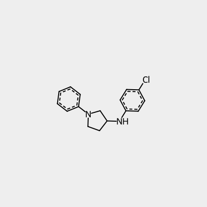 Clc1ccc(NC2CCN(c3ccccc3)C2)cc1